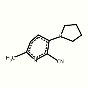 Cc1ccc(N2CCCC2)c(C#N)n1